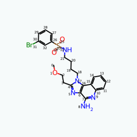 COCCc1nc2c(N)nc3ccccc3c2n1CCCCNS(=O)(=O)c1cccc(Br)c1